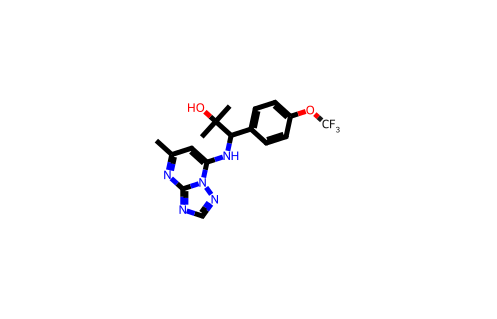 Cc1cc(NC(c2ccc(OC(F)(F)F)cc2)C(C)(C)O)n2ncnc2n1